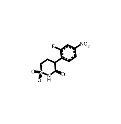 O=C1NS(=O)(=O)CCC1c1ccc([N+](=O)[O-])cc1F